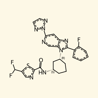 O=C(N[C@H]1CCC[C@@H](n2c(-c3ccccc3F)nc3cc(-n4nccn4)ncc32)C1)c1ncc(C(F)F)s1